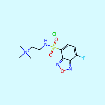 C[N+](C)(C)CCNS(=O)(=O)c1ccc(F)c2nonc12.[Cl-]